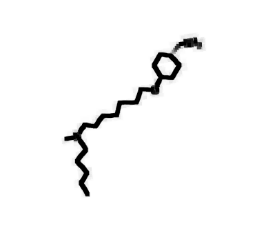 CCCCCN(C)CCCCCCCO[C@H]1CC[C@H](CN)CC1